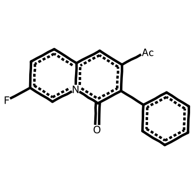 CC(=O)c1cc2ccc(F)cn2c(=O)c1-c1ccccc1